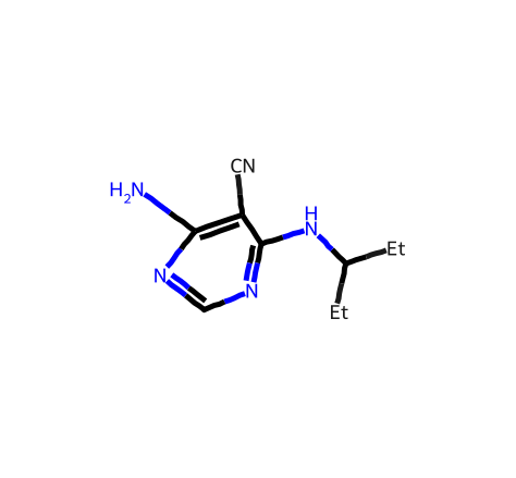 CCC(CC)Nc1ncnc(N)c1C#N